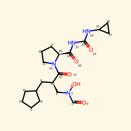 O=CN(O)C[C@@H](CC1CCCC1)C(=O)N1CCC[C@H]1C(=O)NC(=O)NC1CC1